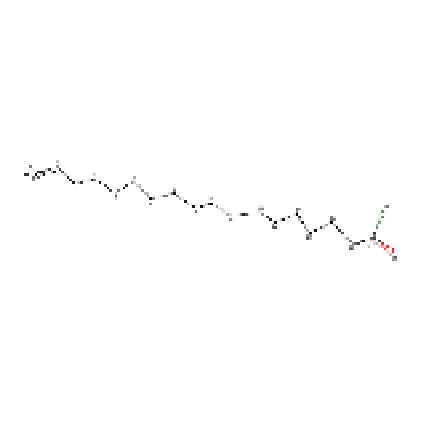 C=CCCCCCCCCCCCCCCCC(=O)Cl